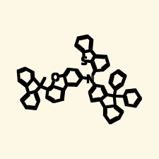 CC1(c2cccc3c2oc2ccc(N(c4ccc5c(c4)C(c4ccccc4)(c4ccccc4)c4ccccc4-5)c4cccc5c4sc4ccccc45)cc23)c2ccccc2-c2ccccc21